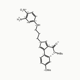 COc1ccc(-c2cn(CCCNc3ccc([N+](=O)[O-])c(N)n3)cc2C(=O)OC(C)(C)C)cc1